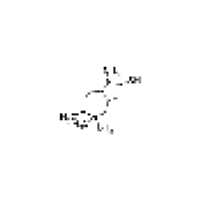 BC1(C)CC2CC(S)N(C)C2CCC1C